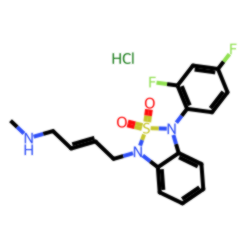 CNC/C=C/CN1c2ccccc2N(c2ccc(F)cc2F)S1(=O)=O.Cl